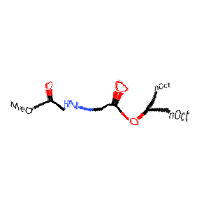 CCCCCCCCC(CCCCCCCC)OC(=O)CNCC(=O)OC